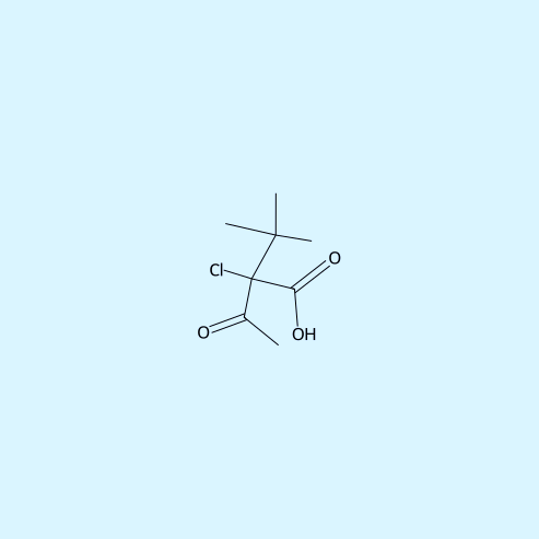 CC(=O)C(Cl)(C(=O)O)C(C)(C)C